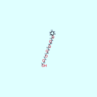 OCCOCCOCCOCCOCCOCCOc1cc[c]cc1